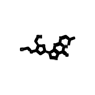 CN(C)/C=N\c1nc2c(ncn2[C@H]2CC(OCCl)[C@@H](CO)O2)c(=O)[nH]1